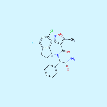 Cc1oncc1C(=O)N(C(C(N)=O)c1ccccc1)[C@@H]1CCc2c(F)cc(Cl)cc21